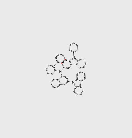 c1ccc(-c2ccccc2N(c2ccc3c(c2)c2ccccc2n3-c2ccccc2)c2cc(-n3c4ccccc4c4ccccc43)cc3ccccc23)cc1